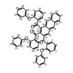 O=C(c1ccccc1Oc1ccccc1)c1cc2cc3ccccc3cc2c(C(=O)c2ccccc2Oc2ccccc2)c1C(=O)c1ccccc1Oc1ccccc1